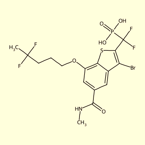 CNC(=O)c1cc(OCCCC(C)(F)F)c2sc(C(F)(F)P(=O)(O)O)c(Br)c2c1